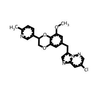 COc1cc(Cc2cnc3cc(Cl)cnn23)cc2c1OC(c1ccc(C)nc1)CO2